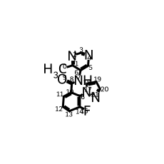 Cc1ncncc1NC(=O)c1cccc(F)c1-n1cccn1